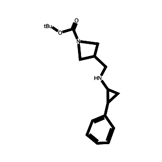 CC(C)(C)OC(=O)N1CC(CNC2CC2c2ccccc2)C1